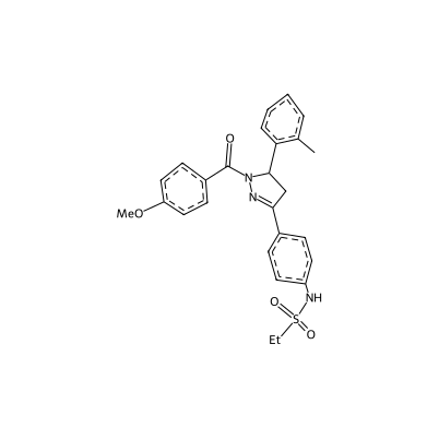 CCS(=O)(=O)Nc1ccc(C2=NN(C(=O)c3ccc(OC)cc3)C(c3ccccc3C)C2)cc1